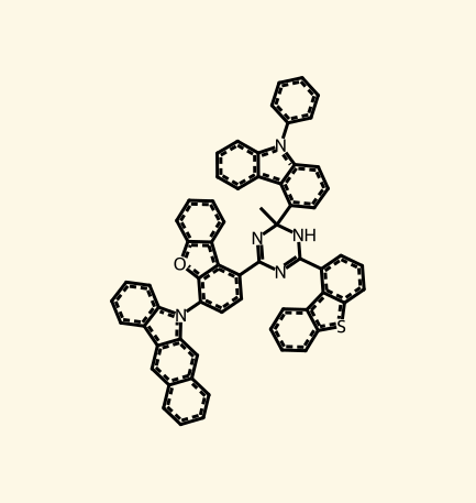 CC1(c2cccc3c2c2ccccc2n3-c2ccccc2)N=C(c2ccc(-n3c4ccccc4c4cc5ccccc5cc43)c3oc4ccccc4c23)N=C(c2cccc3sc4ccccc4c23)N1